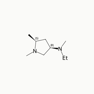 CCN(C)[C@@H]1C[C@H](C)N(C)C1